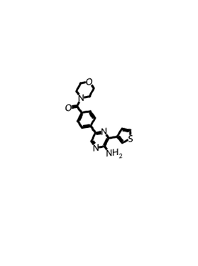 Nc1ncc(-c2ccc(C(=O)N3CCOCC3)cc2)nc1-c1ccsc1